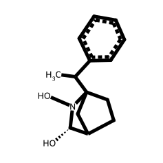 CC(c1ccccc1)C12CCC(C1)[C@H](O)N2O